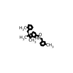 Cc1cccc(CNC(=O)c2ccc3c(c2)c(C)c(C)n3Cc2ccccc2C)c1